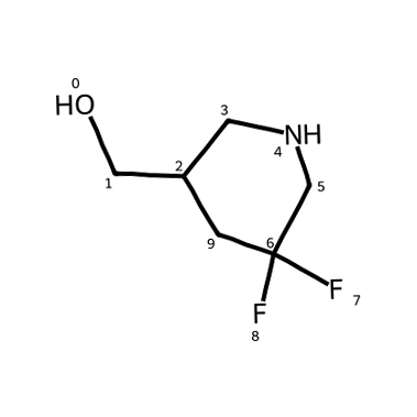 OCC1CNCC(F)(F)C1